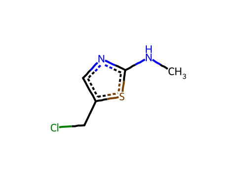 CNc1ncc(CCl)s1